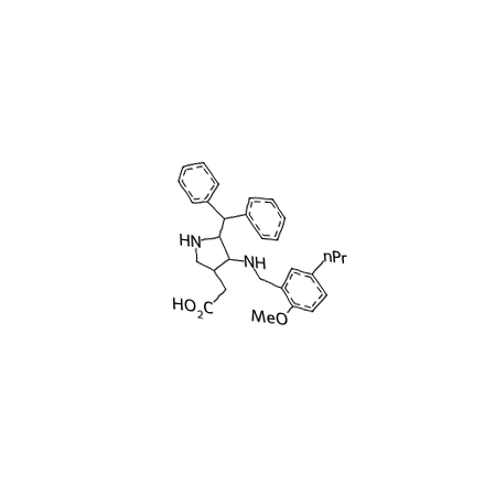 CCCc1ccc(OC)c(CNC2C(CC(=O)O)CNC2C(c2ccccc2)c2ccccc2)c1